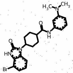 CN(C)c1cccc(NC(=O)C2CCC(n3c(=O)[nH]c4c(Br)cccc43)CC2)c1